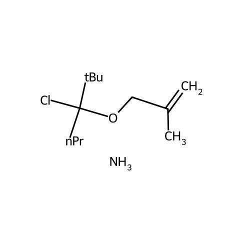 C=C(C)COC(Cl)(CCC)C(C)(C)C.N